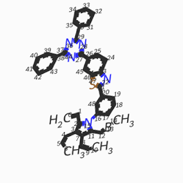 C=Cc1c(/C=C\C)c(/C=C\C)c(/C=B\C)n1-c1cccc(-c2nc3ccc(-c4nc(-c5ccccc5)nc(-c5ccccc5)n4)cc3s2)c1